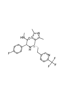 CNC(=O)C(N[C@@H](CCc1ccc(C(F)(F)F)nc1)c1sc(C)nc1C)c1ccc(F)cc1